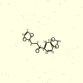 O=C(CCC1OC=CO1)c1ccc2c(c1)OCO2